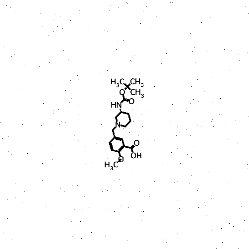 COc1ccc(CN2CCC[C@@H](NC(=O)OC(C)(C)C)C2)cc1C(=O)O